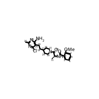 COc1ccccc1C(=O)N[C@@H](C)C(=O)N1CCC(CCc2c(N)nc(C)nc2Cl)CC1